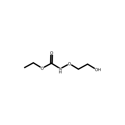 CCOC(=O)NOCCO